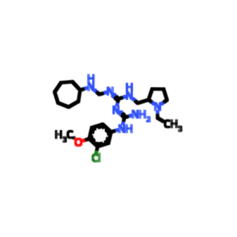 CCN1CCCC1CNC(=N/CNC1CCCCCC1)/N=C(\N)Nc1ccc(OC)c(Cl)c1